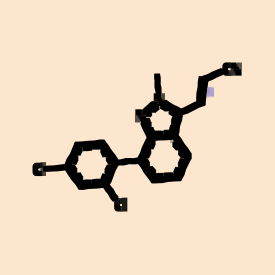 Cn1nc2c(-c3ccc(Cl)cc3Cl)cccc2c1/C=C/C#N